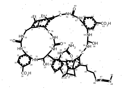 CCc1c2c(CC)c3c(CC)c1CNC(=O)Nc1ccc(C(=O)O)cc1NC(O)C(c1ccc(C(=O)O)cc1NC(N)=O)(NCc1c(C)c(c(CCCN=[N+]=NC)c4c1C(C)C4)CNC(O)Nc1cc(C(=O)O)ccc1NC(=O)NC2)NC(=O)NC3